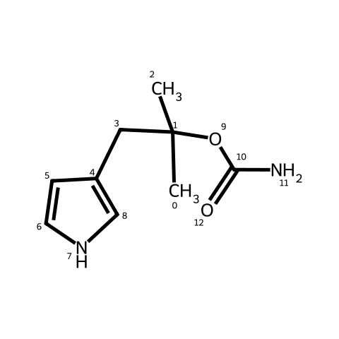 CC(C)(Cc1cc[nH]c1)OC(N)=O